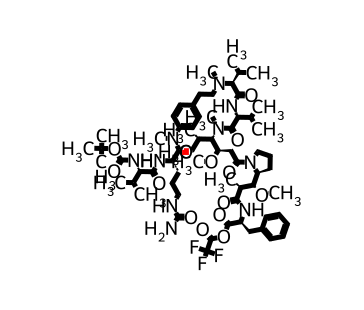 CC[C@H](C)[C@@H]([C@@H](CC(=O)N1CCC[C@H]1[C@H](OC)[C@@H](C)C(=O)N[C@@H](Cc1ccccc1)C(=O)OC(=O)C(F)(F)F)OC)N(C)C(=O)[C@@H](NC(=O)[C@H](C(C)C)N(C)CCc1ccc(N(C)C(=O)[C@H](CCCNC(N)=O)NC(=O)[C@@H](NC(=O)OC(C)(C)C)C(C)C)cc1)C(C)C